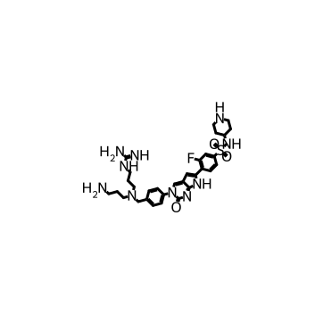 N=C(N)NCCCN(CCCN)Cc1ccc(-n2cc3cc(-c4ccc(S(=O)(=O)NC5CCNCC5)cc4F)[nH]c3nc2=O)cc1